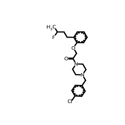 CC(F)CCc1ccccc1OCC(=O)N1CCN(Cc2ccc(Cl)cc2)CC1